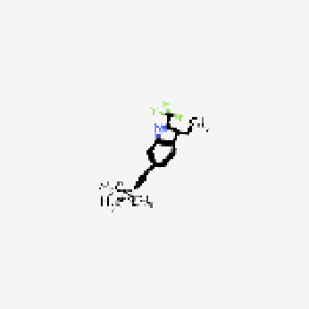 CCC1C(C(F)(F)F)=Nc2cc(C#C[Si](C)(C)C)ccc21